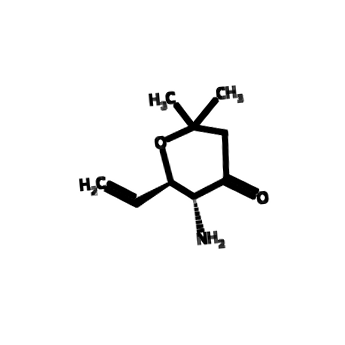 C=C[C@H]1OC(C)(C)CC(=O)[C@@H]1N